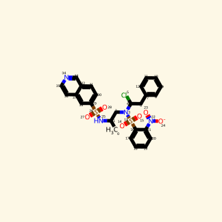 CC(CN(C(Cl)Cc1ccccc1)S(=O)(=O)c1ccccc1[N+](=O)[O-])NS(=O)(=O)c1ccc2cnccc2c1